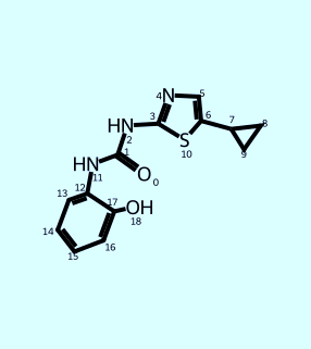 O=C(Nc1ncc(C2CC2)s1)Nc1ccccc1O